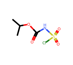 CC(C)OC(=O)NS(=O)(=O)Cl